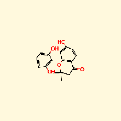 CC1(C)CC(=O)c2ccc(O)cc2O1.Oc1cccc(O)c1